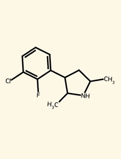 CC1CC(c2cccc(Cl)c2F)C(C)N1